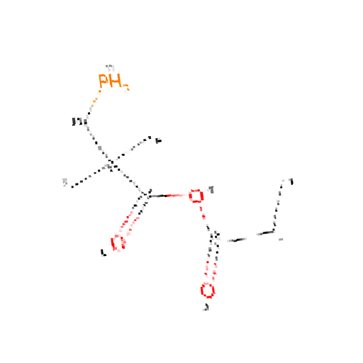 CCC(=O)OC(=O)C(C)(C)CP